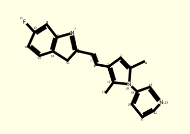 Cc1cc(/C=C/C2=Nc3cc(F)ccc3C2)c(C)n1-c1cccnc1